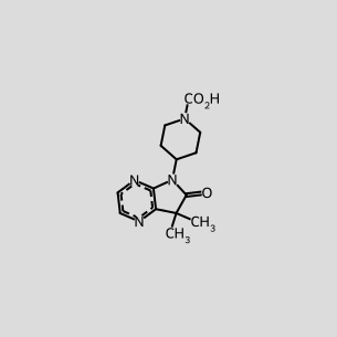 CC1(C)C(=O)N(C2CCN(C(=O)O)CC2)c2nccnc21